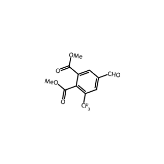 COC(=O)c1cc(C=O)cc(C(F)(F)F)c1C(=O)OC